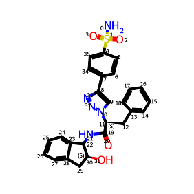 NS(=O)(=O)c1ccc(-c2cn([C@@H](Cc3ccccc3)C(=O)NC3c4ccccc4C[C@@H]3O)nn2)cc1